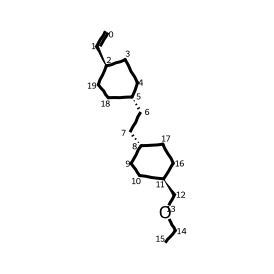 C=C[C@H]1CC[C@H](CC[C@H]2CC[C@H](COCC)CC2)CC1